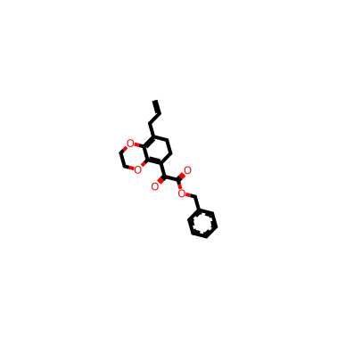 C=CCC1=C2OCCOC2=C(C(=O)C(=O)OCc2ccccc2)CC1